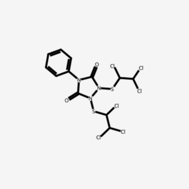 O=c1n(-c2ccccc2)c(=O)n(SC(Cl)C(Cl)Cl)n1SC(Cl)C(Cl)Cl